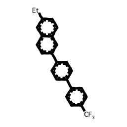 CCc1ccc2cc(-c3ccc(-c4ccc(C(F)(F)F)cc4)cc3)ccc2c1